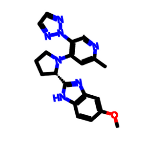 COc1ccc2[nH]c([C@@H]3CCCN3c3cc(C)n[c]c3-n3nccn3)nc2c1